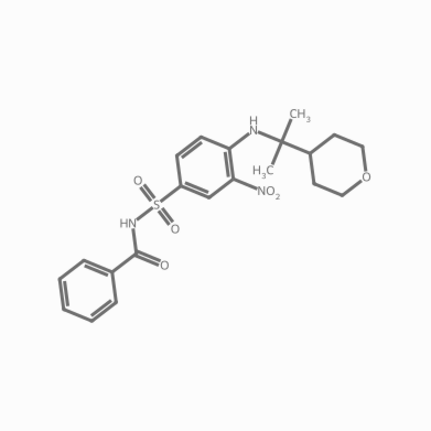 CC(C)(Nc1ccc(S(=O)(=O)NC(=O)c2ccccc2)cc1[N+](=O)[O-])C1CCOCC1